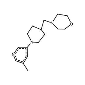 Cc1cncc(N2CCC(CN3CCOCC3)CC2)c1